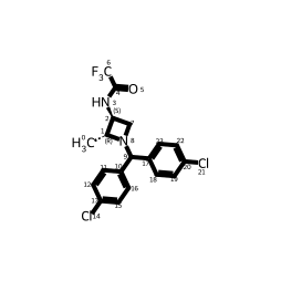 C[C@@H]1[C@@H](NC(=O)C(F)(F)F)CN1C(c1ccc(Cl)cc1)c1ccc(Cl)cc1